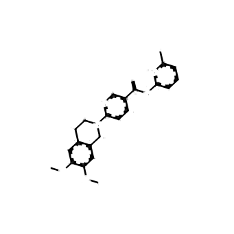 COc1cc2c(cc1OC)CN(c1ccc(C(=O)Nc3cccc(C)n3)cn1)CC2